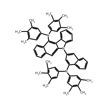 Cc1cc(N(c2cc(C)c(C)c(C)c2)c2cc(-n3c4ccccc4c4c(N(c5cc(C)c(C)c(C)c5)c5cc(C)c(C)c(C)c5)c5ccccc5cc43)cc3ccccc23)cc(C)c1C